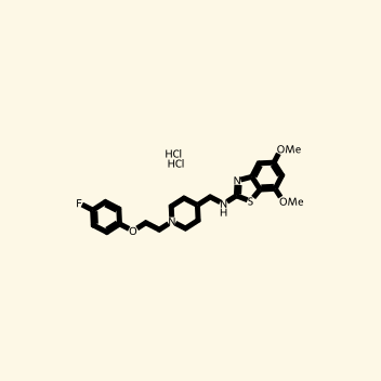 COc1cc(OC)c2sc(NCC3CCN(CCOc4ccc(F)cc4)CC3)nc2c1.Cl.Cl